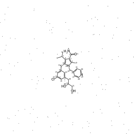 Cc1c(C(N)=O)c(C(C)C)c(Sc2cc(Cl)cc(CC(O)CO)c2)n1Cc1ccncc1